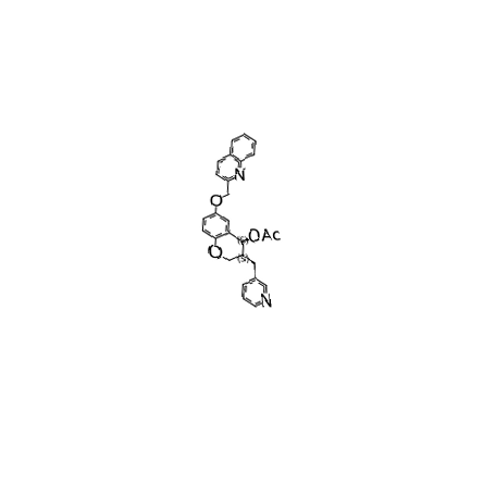 CC(=O)O[C@@H]1c2cc(OCc3ccc4ccccc4n3)ccc2OC[C@@H]1Cc1cccnc1